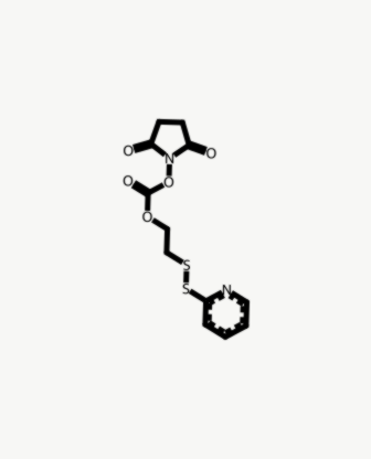 O=C(OCCSSc1ccccn1)ON1C(=O)CCC1=O